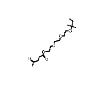 CCC(C)(C)OCCOCCOCCOC(=O)CCC(C)=O